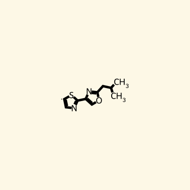 CC(C)Cc1nc(-c2nc[c]s2)co1